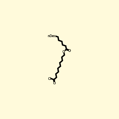 CCCCCCCCCCCCCCCC(=O)OCCCCCCCCCC(=O)Cl